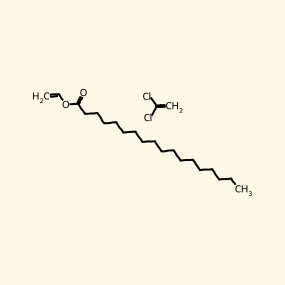 C=C(Cl)Cl.C=COC(=O)CCCCCCCCCCCCCCCCC